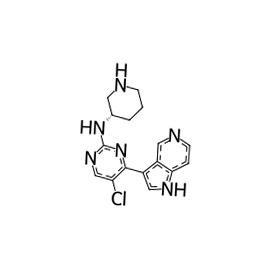 Clc1cnc(N[C@H]2CCCNC2)nc1-c1c[nH]c2ccncc12